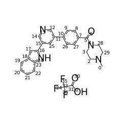 CN1CCN(C(=O)c2ccc(-c3cncc(-c4cc5ccccc5[nH]4)c3)cc2)CC1.O=C(O)C(F)(F)F